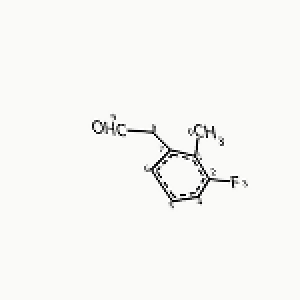 Cc1c(F)cccc1CC=O